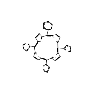 C1=CC2=C(c3cccs3)C3=NC(=C(c4cccs4)C4=NC(=C(c5cccs5)C5=NC(=C(c6ccccc6)C1=N2)C=C5)C=C4)C=C3